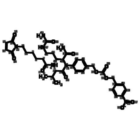 CC(C)[C@H](NC(=O)CCCCCN1C(=O)C=CC1=O)C(=O)N(c1ccc(COC(=O)OCc2ccc([N+](=O)[O-])cc2)cc1)[C@@H](CCCNC(N)=O)C(N)=O